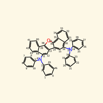 c1ccc(N(c2ccccc2)c2cc3c4cc(N(c5ccccc5)c5ccccc5)c5ccccc5c4oc3c3ccccc23)cc1